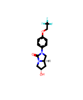 O=C1N(c2ccc(OCC(F)(F)F)cc2)C[C@H]2C[C@H](O)CN12